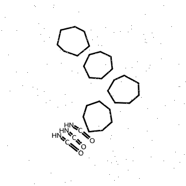 C1CCCCCC1.C1CCCCCC1.C1CCCCCC1.C1CCCCCC1.N=C=O.N=C=O.N=C=O